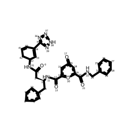 O=C(C[C@H](Cc1ccccc1)NC(=O)c1cc(=O)cc(C(=O)NCc2ccccc2)o1)NC1C=C(c2nn[nH]n2)C=CC1